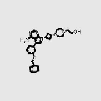 Nc1ncnc2c1c(-c1cccc(OCC34CCC(CC3)O4)c1)cn2[C@H]1C[C@@H](N2CCN(CCO)CC2)C1